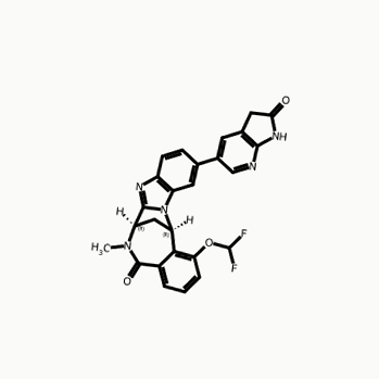 CN1C(=O)c2cccc(OC(F)F)c2[C@H]2C[C@@H]1c1nc3ccc(-c4cnc5c(c4)CC(=O)N5)cc3n12